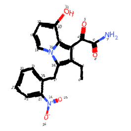 CCc1c(C(=O)C(N)=O)c2c(O)cccn2c1Cc1ccccc1[N+](=O)[O-]